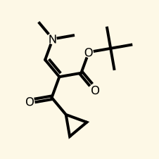 CN(C)/C=C(\C(=O)OC(C)(C)C)C(=O)C1CC1